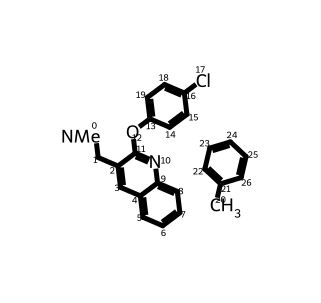 CNCc1cc2ccccc2nc1Oc1ccc(Cl)cc1.Cc1ccccc1